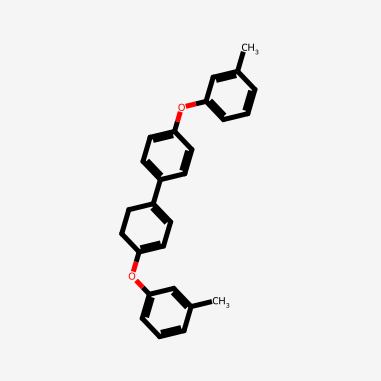 Cc1cccc(OC2=CC=C(c3ccc(Oc4cccc(C)c4)cc3)CC2)c1